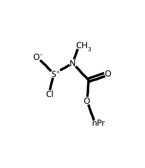 CCCOC(=O)N(C)[S+]([O-])Cl